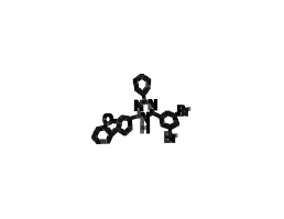 Brc1cc(Br)cc(C2=NC(c3ccccc3)=NC(c3ccc4c(c3)oc3ccccc34)N2)c1